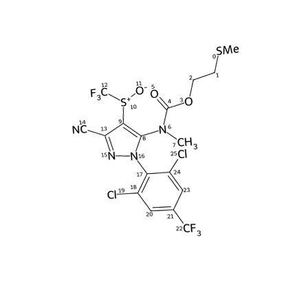 CSCCOC(=O)N(C)c1c([S+]([O-])C(F)(F)F)c(C#N)nn1-c1c(Cl)cc(C(F)(F)F)cc1Cl